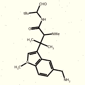 CNC(C(=O)NC(C=O)C(C)(C)C)C(C)(C)c1cn(C)c2ccc(CN)cc12